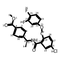 COC(=O)c1ccc([C@H](C)NC(=O)c2cc(Cl)ccc2COc2ccc(F)c(F)c2)cc1